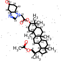 CC(=O)OC=C(C)C1CCC2(C)CCC3C(CCC4C3(C)CCC3C(C)(C)C(OC(=O)CN5C=NC6CC(=O)CCC65)CCC34C)C12